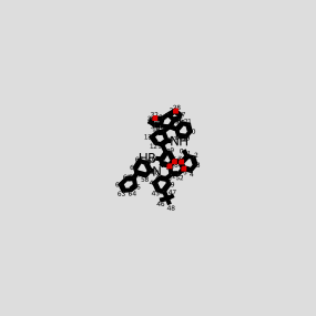 Cc1cccc(C)c1-c1cc(-c2cccc3c2Nc2ccccc2C32c3ccccc3-c3ccccc32)c2c(c1)N(c1ccc(C(C)(C)C)cc1-c1ccccc1)c1cc(-c3ccccc3)ccc1B2